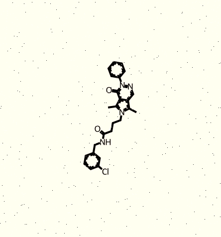 Cc1c2cnn(-c3ccccc3)c(=O)c2c(C)n1CCCC(=O)NCc1cccc(Cl)c1